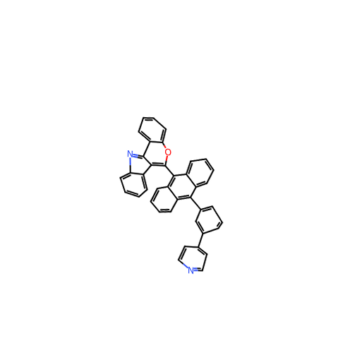 c1cc(-c2ccncc2)cc(-c2c3ccccc3c(-c3oc4ccccc4c4nc5ccccc5c3-4)c3ccccc23)c1